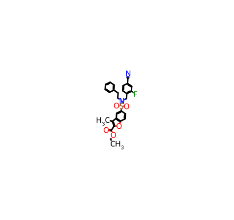 CCOC(=O)c1oc2ccc(S(=O)(=O)N(CCc3ccccc3)Cc3ccc(C#N)cc3F)cc2c1C